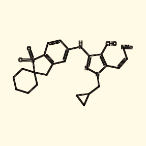 CN/C=C\c1c(C=O)c(Nc2ccc3c(c2)CC2(CCCCC2)S3(=O)=O)nn1CC1CC1